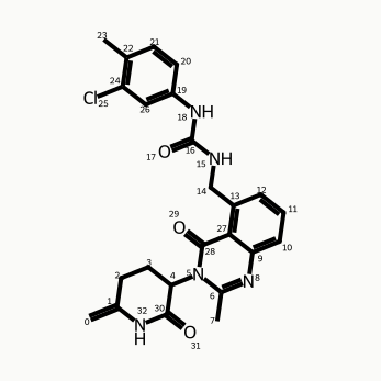 C=C1CCC(n2c(C)nc3cccc(CNC(=O)Nc4ccc(C)c(Cl)c4)c3c2=O)C(=O)N1